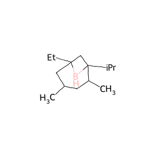 CCC12BC(C(C)C)(C1)C(C)CC(C)C2